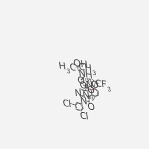 CC(C)(O)CNC(=O)[C@@H]1CCCN1S(=O)(=O)c1cnc2n1[C@]1(Cc3ccc(OC(F)(F)F)cc31)C(=O)N2c1cc(Cl)cc(Cl)c1